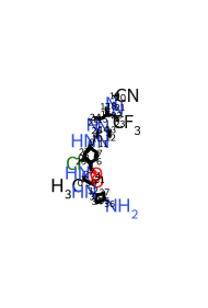 C[C@@H](NC(=O)c1ccc(Nc2nccn3c(-c4cn(CC#N)nc4C(F)(F)F)cnc23)cc1Cl)C(=O)NC1CC(N)C1